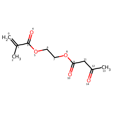 C=C(C)C(=O)OCCOC(=O)CC(C)=O